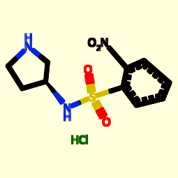 Cl.O=[N+]([O-])c1ccccc1S(=O)(=O)N[C@H]1CCNC1